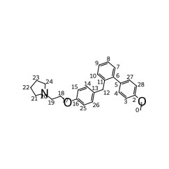 COc1ccc(-c2ccccc2Cc2ccc(OCCN3CCCC3)cc2)cc1